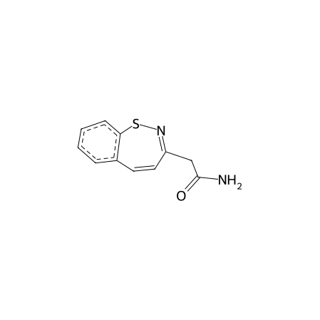 NC(=O)CC1=NSc2ccccc2C=C1